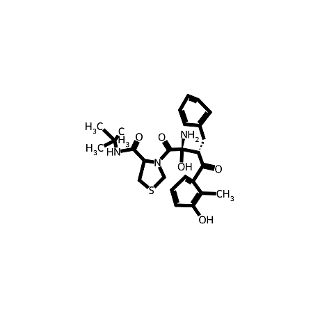 Cc1c(O)cccc1C(=O)[C@@H](Cc1ccccc1)[C@](N)(O)C(=O)N1CSCC1C(=O)NC(C)(C)C